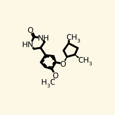 COc1ccc(C2CNC(=O)NC2)cc1O[C@H]1CC(C)C[C@H]1C